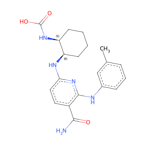 Cc1cccc(Nc2nc(N[C@@H]3CCCC[C@@H]3NC(=O)O)ccc2C(N)=O)c1